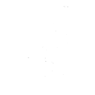 COc1ccc(CCCN(c2ccccc2)[C@@H](C=O)CC(=O)O)cc1O